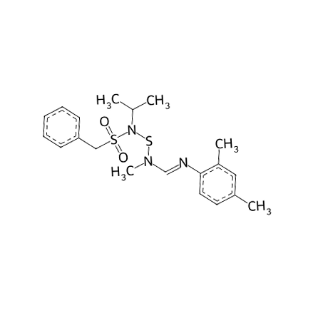 Cc1ccc(N=CN(C)SN(C(C)C)S(=O)(=O)Cc2ccccc2)c(C)c1